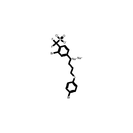 O=P([O-])([O-])C(F)(F)c1ccc(CCCCSc2ccc(Br)cc2)cc1Br.[Na+].[Na+]